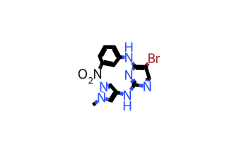 Cn1cc(Nc2ncc(Br)c(Nc3cccc([N+](=O)[O-])c3)n2)cn1